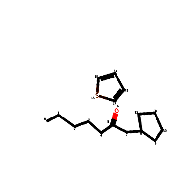 CCCCCC(=O)CC1CCCC1.c1ccsc1